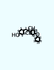 CC(C)(Cc1ccc(O)cc1)c1ccc(Oc2ccccc2)cc1